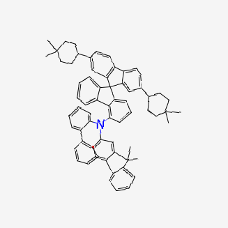 CC1(C)CCC(c2ccc3c(c2)C2(c4cc(C5CCC(C)(C)CC5)ccc4-3)c3ccccc3-c3c(N(c4ccc5c(c4)C(C)(C)c4ccccc4-5)c4ccccc4-c4ccccc4)cccc32)CC1